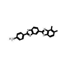 Cc1ccc2sc(-c3ccc4sc(-c5ccc(N)cc5)nc4c3)nc2c1C